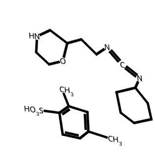 C(=NCCC1CNCCO1)=NC1CCCCC1.Cc1ccc(S(=O)(=O)O)c(C)c1